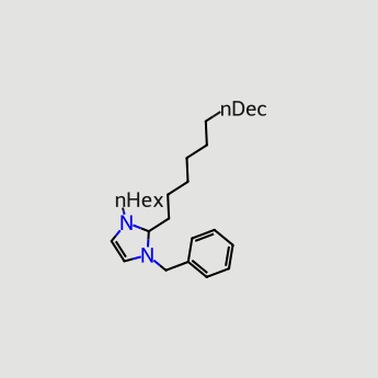 CCCCCCCCCCCCCCCCC1N(CCCCCC)C=CN1Cc1ccccc1